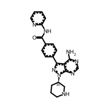 Nc1ncnc2c1c(-c1ccc(C(=O)Nc3ccccn3)cc1)nn2[C@@H]1CCCNC1